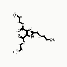 CCCOCc1nc(C(=O)OCCC)c(C(=O)OCCC)[nH]1